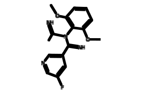 COc1cccc(OC)c1N(C(C)=N)C(=N)c1cncc(F)c1